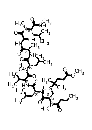 CCCC(=O)N(C)[C@H](CSC(C)(C)CCC(=O)OC)C(=O)N(C)[C@@H](CC(C)C)C(=O)N[C@H](C(=O)N(C)[C@@H](CC(C)C)C(=O)N[C@H](C)C(=O)NC(C)C(=O)N(C)[C@@H](CC(C)C)C(=O)NC)C(C)C